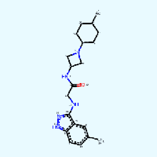 CC(=O)C1CCC(N2CC(NC(=O)CNc3n[nH]c4ccc(C(F)(F)F)cc34)C2)CC1